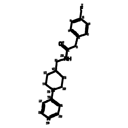 O=C(Cc1ccc(F)cc1)NCC1CCN(c2ccncc2)CC1